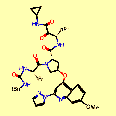 CCC[C@H](NC(=O)[C@@H]1C[C@@H](Oc2cc(-n3cccn3)nc3cc(OC)ccc23)CN1C(=O)[C@@H](NC(=O)NC(C)(C)C)C(C)C)C(=O)C(=O)NC1CC1